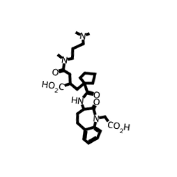 CN(C)CCCN(C)C(=O)CC(CC1(C(=O)NC2CCc3ccccc3N(CC(=O)O)C2=O)CCCC1)C(=O)O